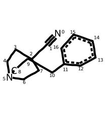 N#CC12CCN(CC1)CC2Cc1ccccc1